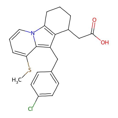 CSc1cccn2c3c(c(Cc4ccc(Cl)cc4)c12)C(CC(=O)O)CCC3